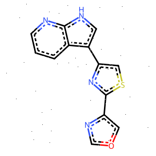 c1cnc2[nH]cc(-c3csc(-c4cocn4)n3)c2c1